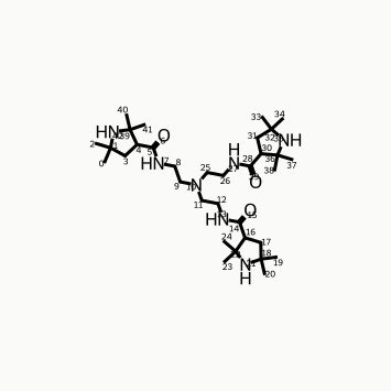 CC1(C)CC(C(=O)NCCN(CCNC(=O)C2CC(C)(C)NC2(C)C)CCNC(=O)C2CC(C)(C)NC2(C)C)C(C)(C)N1